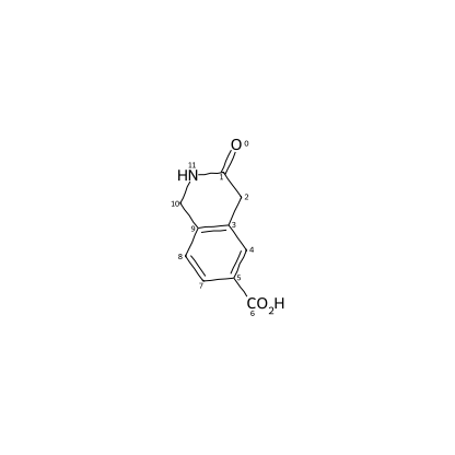 O=C1Cc2cc(C(=O)O)ccc2CN1